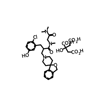 CN(C)C(=O)CN(C)C(=O)C(Cc1cc(O)ccc1Cl)CN1CCC2(CC1)OCc1ccccc12.O=C(O)CC(O)(CC(=O)O)C(=O)O